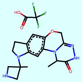 CC1C(=O)NN=C2COc3cc4c(cc3N21)N(C1(C)CNC1)CC4.O=C(O)C(F)(F)F